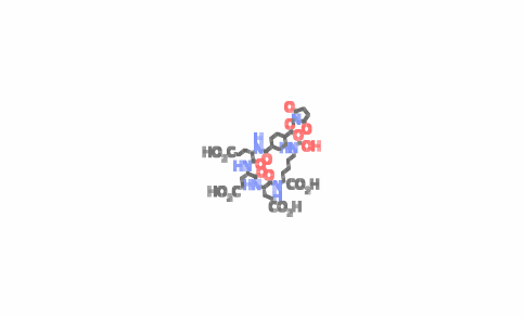 O=C(O)CC[C@@H](NC(=O)C1CCC(C(=O)ON2C(=O)CCC2=O)CC1)C(=O)N[C@H](CCC(=O)O)C(=O)N[C@H](CCC(=O)O)C(=O)N[C@H](CCCCNCO)C(=O)O